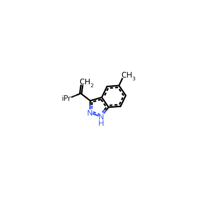 C=C(c1n[nH]c2ccc(C)cc12)C(C)C